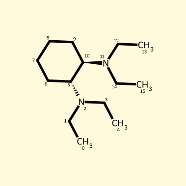 CCN(CC)[C@@H]1CCCC[C@H]1N(CC)CC